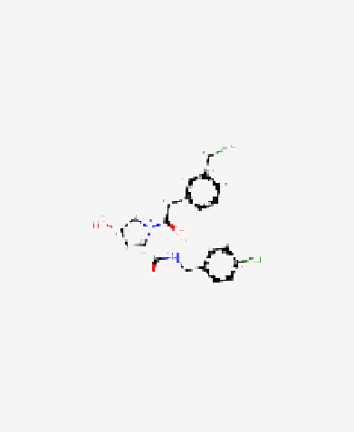 O=C(NCc1ccc(Cl)cc1)[C@@H]1C[C@@H](O)CN1C(=O)Cc1cccc(CF)c1